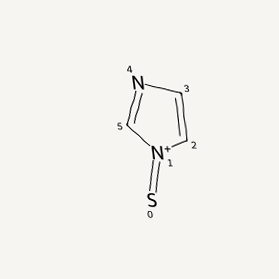 S=[N+]1C=CN=C1